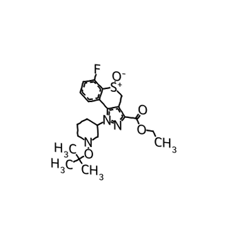 CCOC(=O)c1nn(C2CCCN(OC(C)(C)C)C2)c2c1C[S+]([O-])c1c(F)cccc1-2